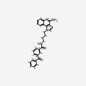 Nc1nc2ccccc2c2c1ncn2CCCCNC(=O)c1cccc(C(=O)c2ccccc2)c1